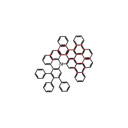 c1ccc(-c2cc(-c3ccccc3N(c3cc(-c4ccccc4)c(-c4ccccc4)c(-c4ccccc4)c3-c3ccccc3)c3cc(-c4ccccc4)c(-c4ccccc4)c(-c4ccccc4)c3-c3ccccc3)c(-c3ccccc3)c(-c3ccccc3)c2-c2ccccc2)cc1